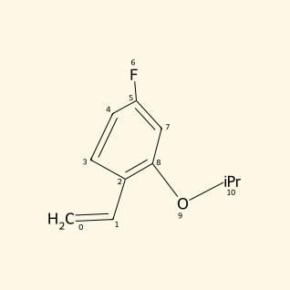 C=Cc1ccc(F)cc1OC(C)C